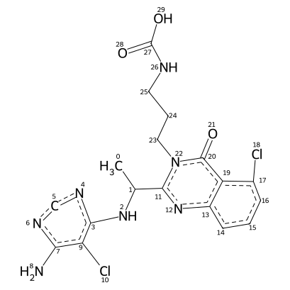 CC(Nc1ncnc(N)c1Cl)c1nc2cccc(Cl)c2c(=O)n1CCCNC(=O)O